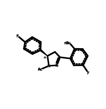 CCCCc1ccc(F)cc1C1=NN(C(C)=O)[C@@H](c2ccc(F)cc2)C1